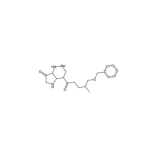 CC(CCC(=O)C1CNNC2C(=O)CNC12)COCc1ccccc1